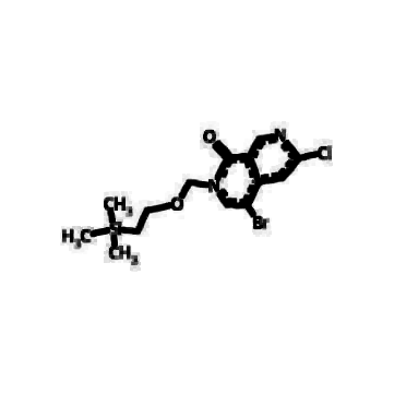 C[Si](C)(C)CCOCn1cc(Br)c2cc(Cl)ncc2c1=O